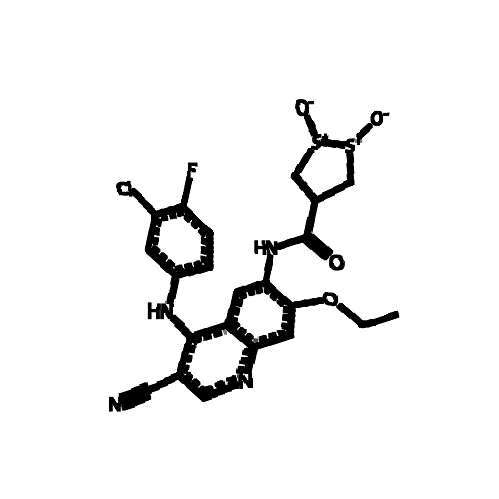 CCOc1cc2ncc(C#N)c(Nc3ccc(F)c(Cl)c3)c2cc1NC(=O)C1C[S+]([O-])[S+]([O-])C1